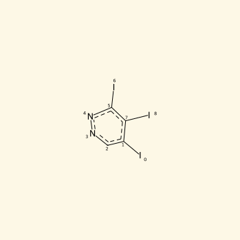 Ic1cnnc(I)c1I